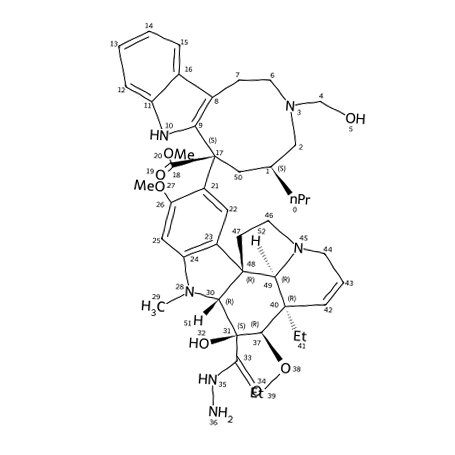 CCC[C@@H]1CN(CO)CCc2c([nH]c3ccccc23)[C@@](C(=O)OC)(c2cc3c(cc2OC)N(C)[C@H]2[C@@](O)(C(=O)NN)[C@H](OCC)[C@]4(CC)C=CCN5CC[C@]32[C@@H]54)C1